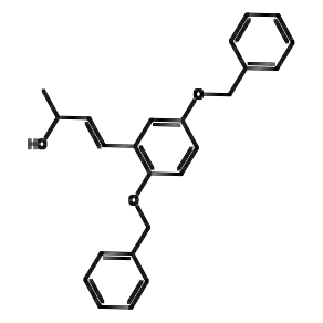 CC(O)C=Cc1cc(OCc2ccccc2)ccc1OCc1ccccc1